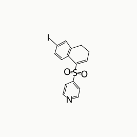 O=S(=O)(C1=CCCc2cc(I)ccc21)c1ccncc1